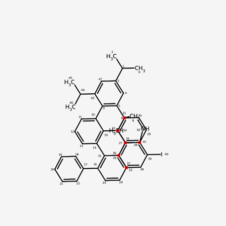 CC(C)c1cc(C(C)C)c(-c2cccc(-c3c(-c4ccccc4)cccc3-c3ccccc3)c2Pc2cccc(I)c2O)c(C(C)C)c1